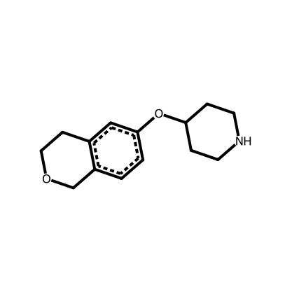 c1cc2c(cc1OC1CCNCC1)CCOC2